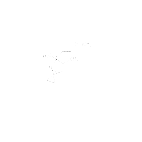 CCCCC(C)(CC)CC1(F)CC1